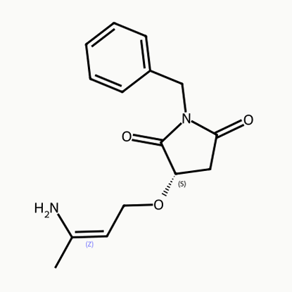 C/C(N)=C/CO[C@H]1CC(=O)N(Cc2ccccc2)C1=O